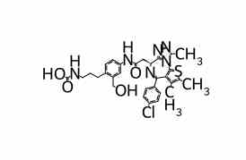 Cc1sc2c(c1C)C(c1ccc(Cl)cc1)=N[C@@H](CC(=O)Nc1ccc(CCCNC(=O)O)c(CO)c1)c1nnc(C)n1-2